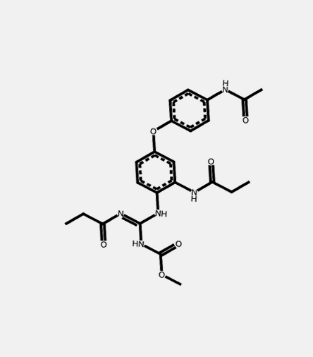 CCC(=O)N=C(NC(=O)OC)Nc1ccc(Oc2ccc(NC(C)=O)cc2)cc1NC(=O)CC